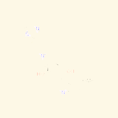 COc1ccc2nccc([C@@H](O)CC[C@@H]3CCN(CCSc4cnccn4)C[C@@H]3CO)c2c1